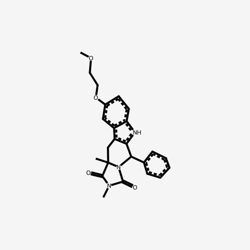 COCCOc1ccc2[nH]c3c(c2c1)CC1(C)C(=O)N(C)C(=O)N1C3c1ccccc1